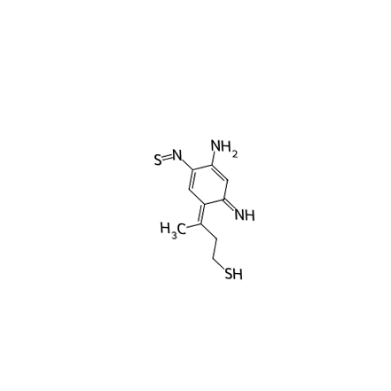 C/C(CCS)=C1\C=C(N=S)C(N)=CC1=N